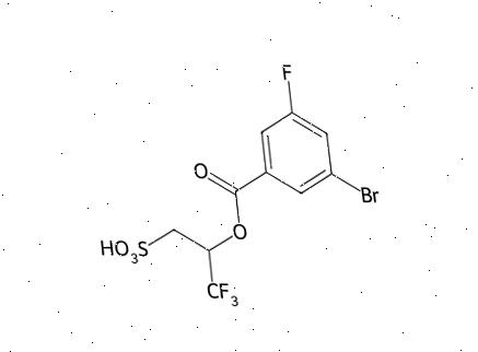 O=C(OC(CS(=O)(=O)O)C(F)(F)F)c1cc(F)cc(Br)c1